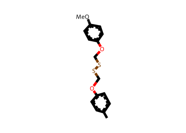 COc1ccc(OCSSCOc2ccc(C)cc2)cc1